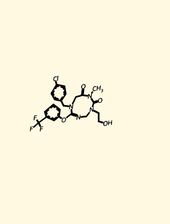 CN1C(=O)CN(Cc2ccc(Cl)cc2)/C(Oc2cccc(C(F)(F)F)c2)=N\CN(CCO)C1=O